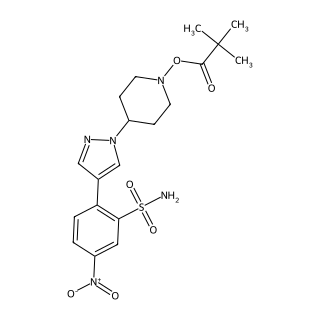 CC(C)(C)C(=O)ON1CCC(n2cc(-c3ccc([N+](=O)[O-])cc3S(N)(=O)=O)cn2)CC1